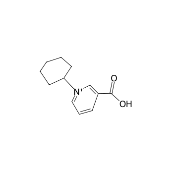 O=C(O)c1ccc[n+](C2CCCCC2)c1